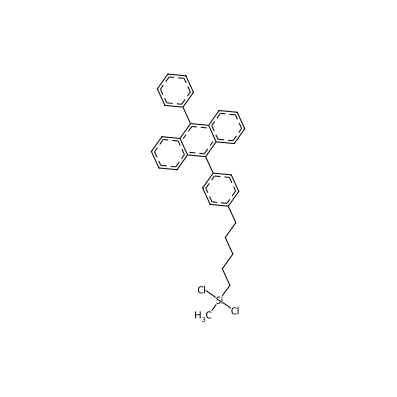 C[Si](Cl)(Cl)CCCCCc1ccc(-c2c3ccccc3c(-c3ccccc3)c3ccccc23)cc1